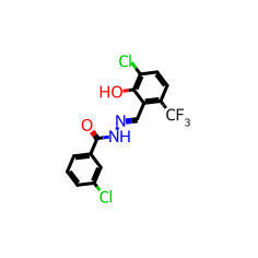 O=C(N/N=C/c1c(C(F)(F)F)ccc(Cl)c1O)c1cccc(Cl)c1